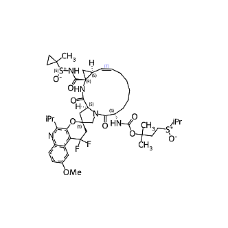 COc1ccc2nc(C(C)C)c3c(c2c1)C(F)(F)C[C@]1(C[C@H]2C(=O)N[C@]4(C(=O)N[S@+]([O-])C5(C)CC5)C[C@H]4/C=C\CCCCC[C@H](NC(=O)OC(C)(C)CC[S+]([O-])C(C)C)C(=O)N2C1)O3